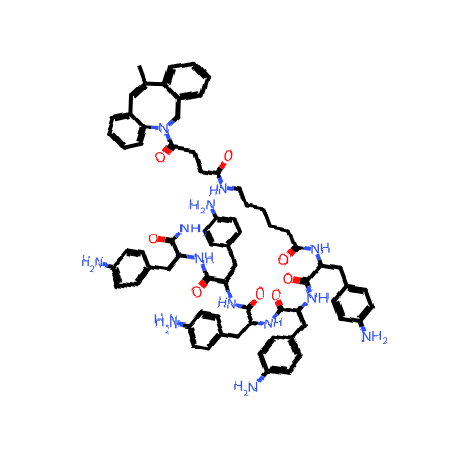 C/C1=C/c2ccccc2N(C(=O)CCC(=O)NCCCCCC(=O)NC(Cc2ccc(N)cc2)C(=O)NC(Cc2ccc(N)cc2)C(=O)NC(Cc2ccc(N)cc2)C(=O)NC(Cc2ccc(N)cc2)C(=O)NC(Cc2ccc(N)cc2)C(N)=O)Cc2ccccc21